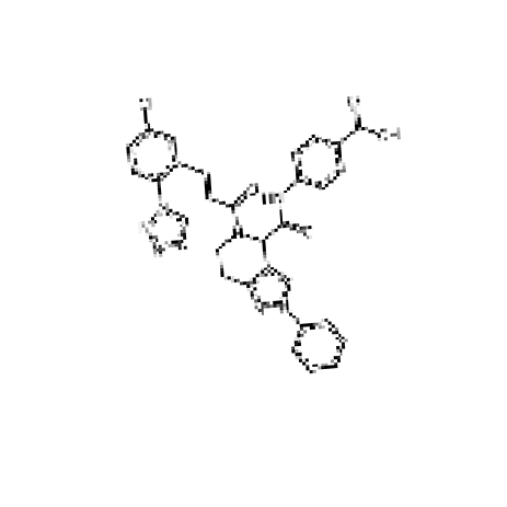 O=C(O)c1ccc(NC(=O)C2c3cn(-c4ccccc4)nc3CCN2C(=O)C=Cc2cc(Cl)ccc2-n2cnnn2)cc1